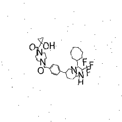 O=C(c1ccc(C2CCC3NC(C(F)(F)F)C(C4CCCCCC4)N3C2)cc1)N1CCN(C(=O)C2(O)CC2)CC1